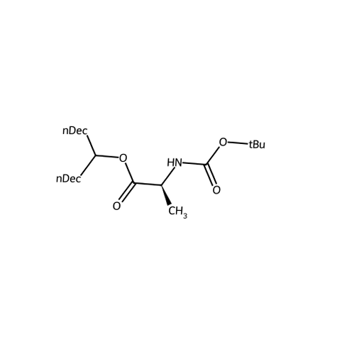 CCCCCCCCCCC(CCCCCCCCCC)OC(=O)[C@H](C)NC(=O)OC(C)(C)C